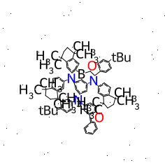 CC(C)(C)c1ccc(N(c2cc3c4c(c2)N(c2ccc5c(c2)C(C)(C)CCC5(C)C)C2c5ccc(C(C)(C)C)cc5OC2B4c2cc4c(cc2N3c2ccc3c(c2)C(C)(C)CCC3(C)C)C(C)(C)CCC4(C)C)c2ccc3oc4ccccc4c3c2)cc1